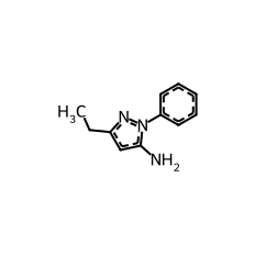 CCc1cc(N)n(-c2ccccc2)n1